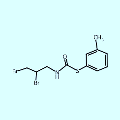 Cc1cccc(SC(=O)NCC(Br)CBr)c1